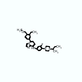 CCc1cc(-c2ccc(Nc3ccc(N4CCN(C(C)CC)CC4)c(F)c3)c3nccn23)ccc1COC